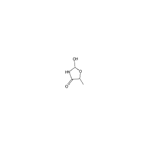 CC1OC(O)NC1=O